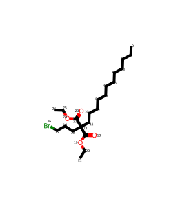 CCCCCCCCCCCCC(CCCBr)(C(=O)OCC)C(=O)OCC